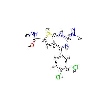 CNC(=O)c1cc2c(-c3ccc(Cl)c(Cl)c3)nc(NC)nc2s1